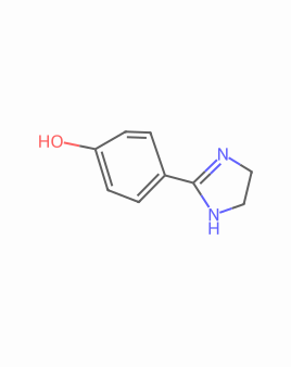 Oc1ccc(C2=NCCN2)cc1